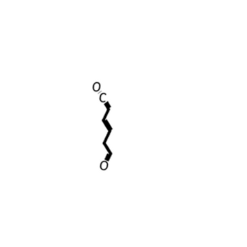 O=C=CC=CCC=O